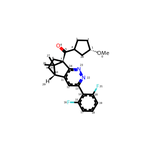 CO[C@H]1CCC(C(=O)[C@@]23CC[C@@H](c4cc(-c5c(F)cccc5F)nnc42)C3(C)C)C1